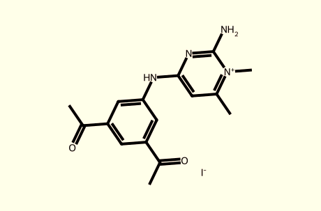 CC(=O)c1cc(Nc2cc(C)[n+](C)c(N)n2)cc(C(C)=O)c1.[I-]